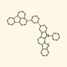 c1ccc(-n2c3ccc(-c4cccc(-c5ccc6c7c(cccc57)-c5ccccc5-6)c4)cc3c3ccc4c5ccccc5sc4c32)cc1